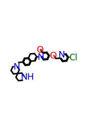 O=c1cc(OCc2ccc(Cl)cn2)ccn1C1=Cc2ccc(CN3CCCC4(CCCNC4)C3)cc2CC1